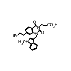 CC(C)CCc1ccc2c(=O)n(CCC(=O)O)c(=O)n(Cc3cn(C)c4ccccc34)c2c1